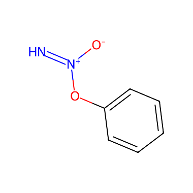 N=[N+]([O-])Oc1ccccc1